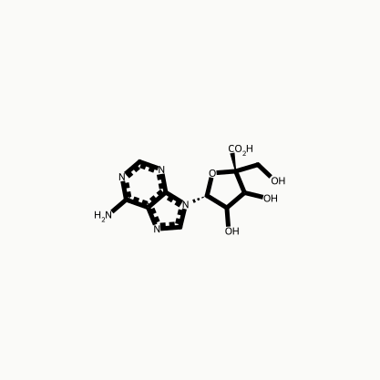 Nc1ncnc2c1ncn2[C@@H]1O[C@@](CO)(C(=O)O)C(O)C1O